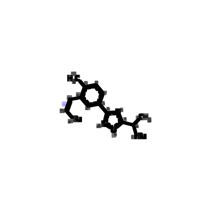 CCCCC(C)c1nc(-c2ccc(C)c(/C=C\C(C)CC)c2)no1